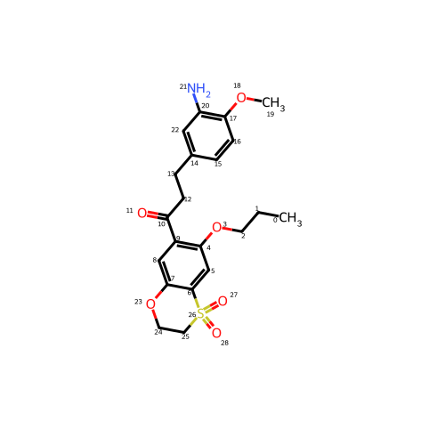 CCCOc1cc2c(cc1C(=O)CCc1ccc(OC)c(N)c1)OCCS2(=O)=O